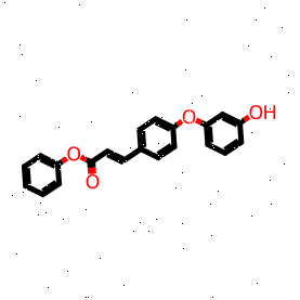 O=C(C=Cc1ccc(Oc2cccc(O)c2)cc1)Oc1ccccc1